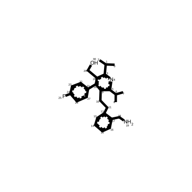 CC(C)c1nc(C(C)C)c(CCc2ccccc2CN)c(-c2ccc(F)cc2)c1CO